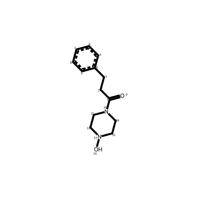 O=C(CCc1ccccc1)N1CCN(O)CC1